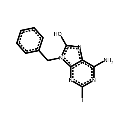 Nc1nc(I)nc2c1nc(O)n2Cc1ccccc1